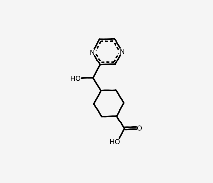 O=C(O)C1CCC(C(O)c2cnccn2)CC1